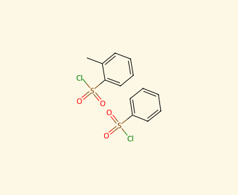 Cc1ccccc1S(=O)(=O)Cl.O=S(=O)(Cl)c1ccccc1